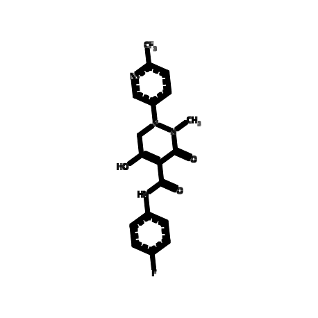 CN1C(=O)C(C(=O)Nc2ccc(F)cc2)=C(O)CN1c1ccc(C(F)(F)F)nc1